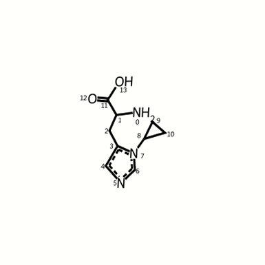 NC(Cc1cncn1C1CC1)C(=O)O